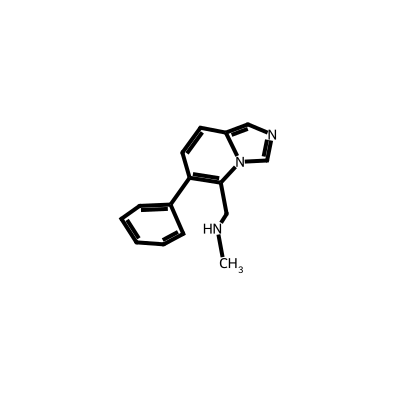 CNCc1c(-c2ccccc2)ccc2cncn12